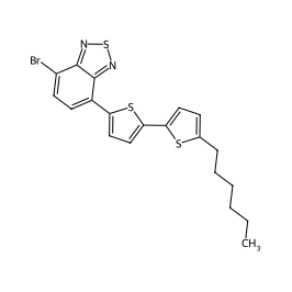 CCCCCCc1ccc(-c2ccc(-c3ccc(Br)c4nsnc34)s2)s1